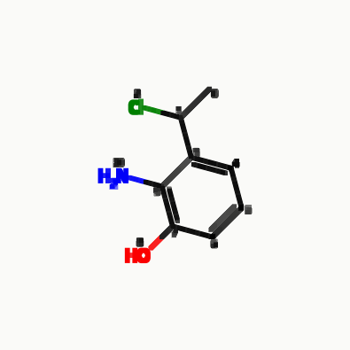 CC(Cl)c1cccc(O)c1N